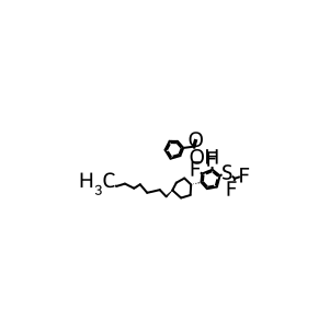 CCCCCCCC[C@H]1CC[C@H](c2ccc(SC(F)F)c(F)c2F)CC1.O=C(O)c1ccccc1